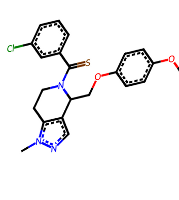 COc1ccc(OCC2c3cnn(C)c3CCN2C(=S)c2cccc(Cl)c2)cc1